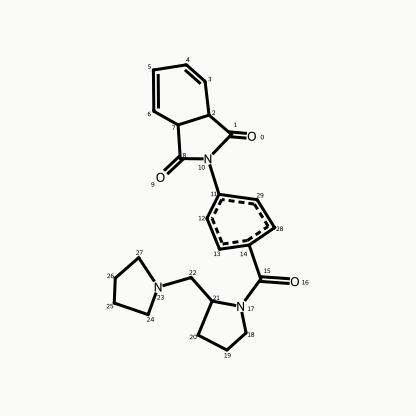 O=C1C2C=CC=CC2C(=O)N1c1ccc(C(=O)N2CCCC2CN2CCCC2)cc1